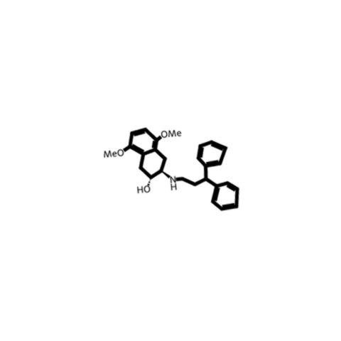 COc1ccc(OC)c2c1C[C@@H](O)[C@H](NCCC(c1ccccc1)c1ccccc1)C2